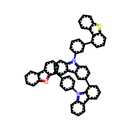 c1cc(-c2cccc3sc4ccccc4c23)cc(-n2c3ccccc3c3cc(-c4cccc5c6ccccc6n(-c6ccc(-c7cccc8c7oc7ccccc78)cc6)c45)ccc32)c1